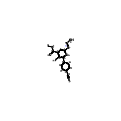 COC(=O)c1cc(/N=N/O)nc(-c2ccc(C#N)cc2)c1F